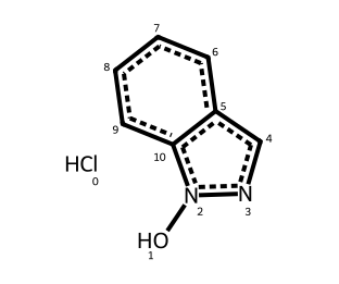 Cl.On1ncc2ccccc21